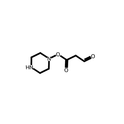 O=CCC(=O)ON1CCNCC1